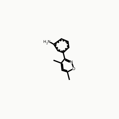 CC1=C=C(C)C(c2cccc(N)c2)=NO1